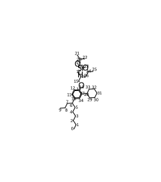 CCCCCCC(CCC)c1ccc(OCCC[SiH](OC(C)C)OC(C)C)c(C2CCCCC2)c1